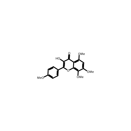 COc1ccc(-c2oc3c(OC)c(OC)cc(OC)c3c(=O)c2O)cc1